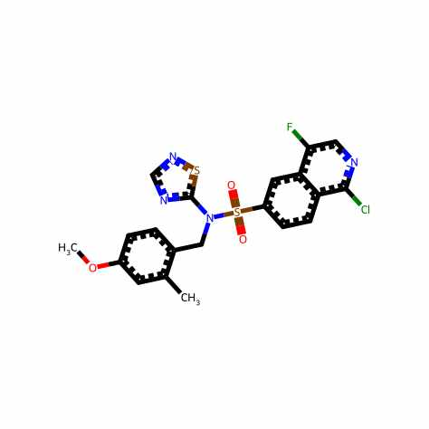 COc1ccc(CN(c2ncns2)S(=O)(=O)c2ccc3c(Cl)ncc(F)c3c2)c(C)c1